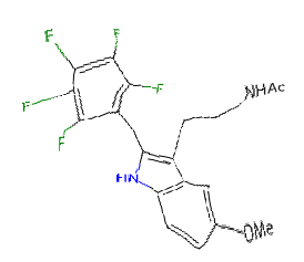 COc1ccc2[nH]c(-c3c(F)c(F)c(F)c(F)c3F)c(CCNC(C)=O)c2c1